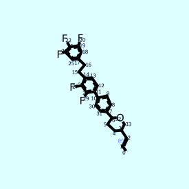 C/C=C/C1CCC(c2ccc(-c3ccc(CCc4cc(F)c(F)c(F)c4)c(F)c3F)cc2)OC1